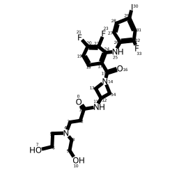 O=C(CCN(CCO)CCO)NC1CN(C(=O)c2ccc(F)c(F)c2Nc2ccc(I)cc2F)C1